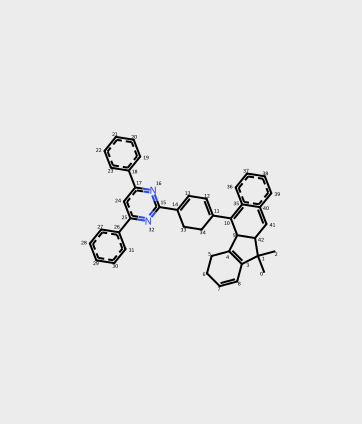 CC1(C)C2=C(CCC=C2)C2C(C3=CC=C(c4nc(-c5ccccc5)cc(-c5ccccc5)n4)CC3)=c3ccccc3=CC21